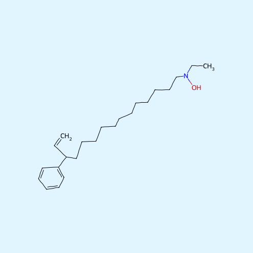 C=CC(CCCCCCCCCCCCN(O)CC)c1ccccc1